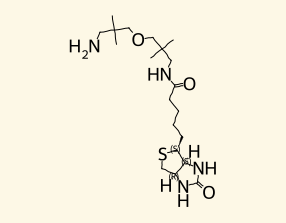 CC(C)(CN)COCC(C)(C)CNC(=O)CCCC[C@@H]1SC[C@@H]2NC(=O)N[C@@H]21